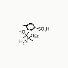 CCOC(C)(N)C(C)(C)O.Cc1ccc(S(=O)(=O)O)cc1